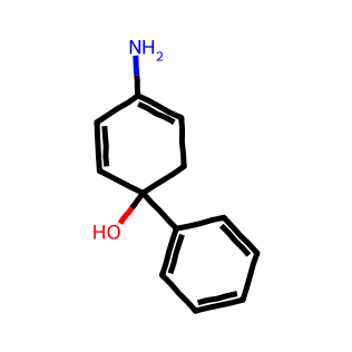 NC1=CCC(O)(c2ccccc2)C=C1